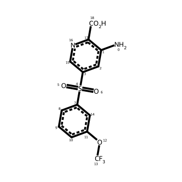 Nc1cc(S(=O)(=O)c2cccc(OC(F)(F)F)c2)cnc1C(=O)O